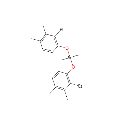 CCc1c([O][Sn]([CH3])([CH3])[O]c2ccc(C)c(C)c2CC)ccc(C)c1C